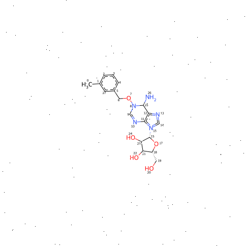 Cc1cccc(CON2C=Nc3c(ncn3[C@@H]3O[C@H](CO)C(O)C3O)C2N)c1